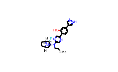 COCCN(c1cnc(-c2ccc(-c3cn[nH]c3)cc2O)cn1)[C@@H]1C[C@H]2CC[C@H](N2)[C@@H]1F